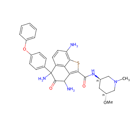 CO[C@@H]1C[C@@H](NC(=O)c2sc3c(N)ccc4c3c2C(N)C(=O)C4(N)c2ccc(Oc3ccccc3)cc2)CN(C)C1